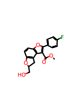 COC(=O)c1c(-c2ccc(F)cc2)oc2ccc3c(c12)CC(CO)O3